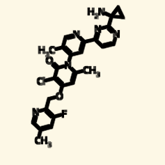 Cc1cnc(COc2cc(C)n(-c3cc(-c4ccnc(C5(N)CC5)n4)ncc3C)c(=O)c2Cl)c(F)c1